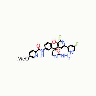 COc1ccc(C(=O)Nc2ccc3c(c2)[C@@]2(CCN=C(N)O2)c2cc(-c4cncc(F)c4)nc(F)c2O3)nc1